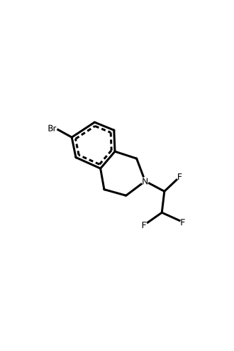 FC(F)C(F)N1CCc2cc(Br)ccc2C1